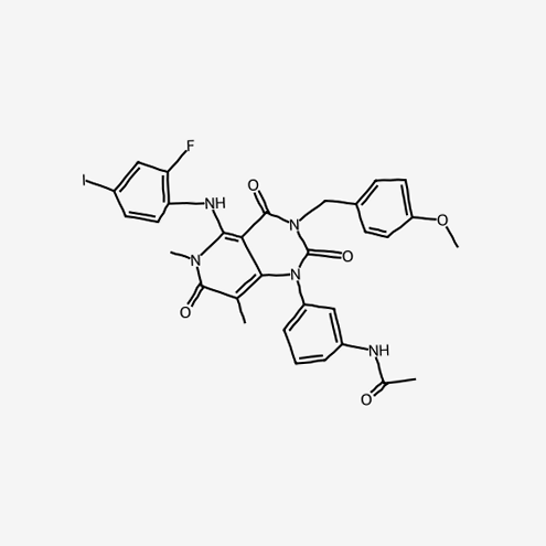 COc1ccc(Cn2c(=O)c3c(Nc4ccc(I)cc4F)n(C)c(=O)c(C)c3n(-c3cccc(NC(C)=O)c3)c2=O)cc1